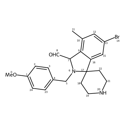 COc1ccc(CN2C(C=O)c3c(C)cc(Br)cc3C23CCNCC3)cc1